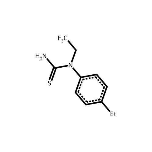 CCc1ccc(N(CC(F)(F)F)C(N)=S)cc1